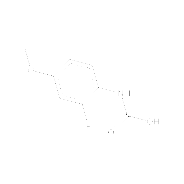 COc1ccc(NC(=O)O)c(F)c1